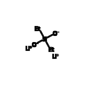 CC[Si]([O-])([O-])CC.[Li+].[Li+]